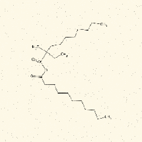 CCCCCCCCCCC(=O)OC(=O)C(C)(CC)CCCCCCCC